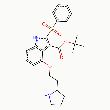 CC(C)(C)OC(=O)c1c(S(=O)(=O)c2ccccc2)[nH]c2cccc(OCCC3CCCN3)c12